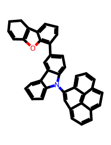 C1=Cc2oc3c(-c4ccc5c(c4)c4ccccc4n5-c4cc5cccc6ccc7cccc4c7c65)cccc3c2CC1